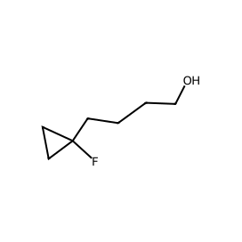 OCCCCC1(F)CC1